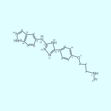 CC(C)NCCCOc1ccc(-c2nnc(Nc3ccc4[nH]ncc4c3)[nH]2)cc1